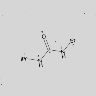 CCNC(=O)NC(C)C